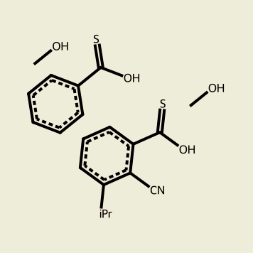 CC(C)c1cccc(C(O)=S)c1C#N.CO.CO.OC(=S)c1ccccc1